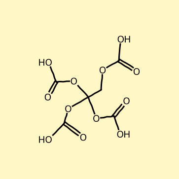 O=C(O)OCC(OC(=O)O)(OC(=O)O)OC(=O)O